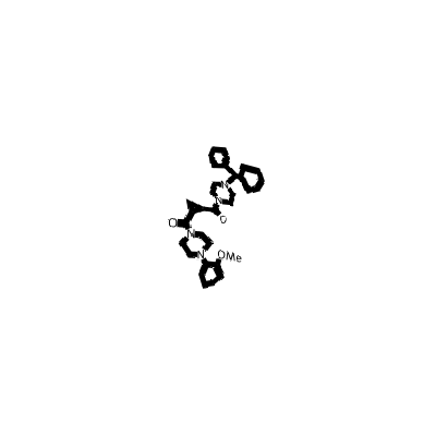 COc1ccccc1N1CCN(C(=O)C2CC2C(=O)N2CCN(C(c3ccccc3)c3ccccc3)CC2)CC1